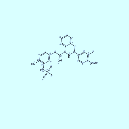 COc1ccc(C(Cc2ccccc2)NCC(O)Cc2ccc(O)c(NS(C)(=O)=O)c2)cc1C